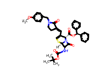 COc1ccc(CN2CCC(=CC3=CS[C@@H]4[C@H](NC(=O)OC(C)(C)C)C(=O)N4[C@H]3C(=O)OC(c3ccccc3)c3ccccc3)C2=O)cc1